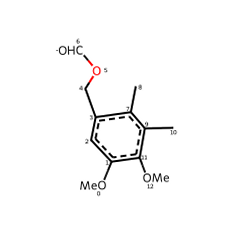 COc1cc(CO[C]=O)c(C)c(C)c1OC